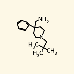 CC(C)(C)CN1CCC(CN)(c2ccccc2)CC1